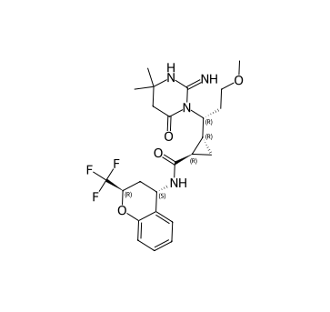 COCC[C@H]([C@@H]1C[C@H]1C(=O)N[C@H]1C[C@H](C(F)(F)F)Oc2ccccc21)N1C(=N)NC(C)(C)CC1=O